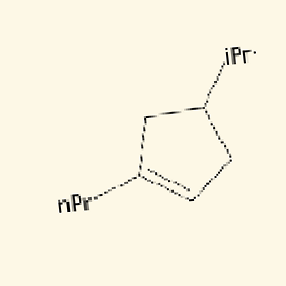 CCCC1=CCC([C](C)C)C1